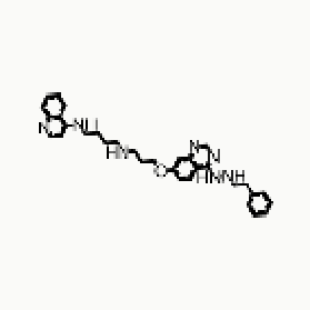 c1ccc(CCNNc2ncnc3cc(OCCCNCCCCNc4ccnc5ccccc45)ccc23)cc1